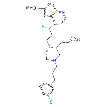 COc1ccc2nccc([C@@H](F)CCC3CCN(CCCc4cccc(Cl)c4)CC3CCC(=O)O)c2c1